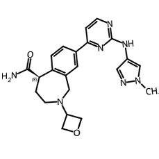 Cn1cc(Nc2nccc(-c3ccc4c(c3)CN(C3COC3)CC[C@H]4C(N)=O)n2)cn1